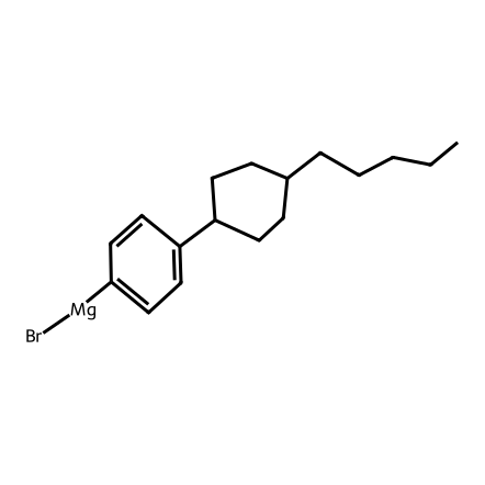 CCCCCC1CCC(c2cc[c]([Mg][Br])cc2)CC1